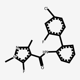 Cc1nn(C)c(F)c1C(=O)Nc1ccccc1-c1ccc(Cl)cc1F